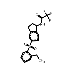 CCc1ccccc1S(=O)(=O)c1ccc2c(c1)CCC2NC(=O)C(F)(F)F